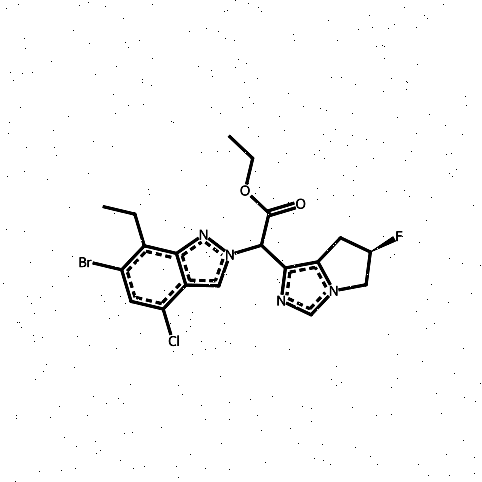 CCOC(=O)C(c1ncn2c1C[C@@H](F)C2)n1cc2c(Cl)cc(Br)c(CC)c2n1